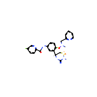 CCN(Cc1ccccn1)C[C@H]1[C@@](C)(c2cc(NC(=O)c3ccc(F)cn3)ccc2F)NC(=N)N(C)S1(=O)=O